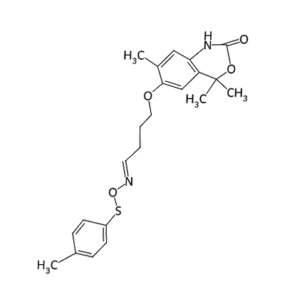 Cc1ccc(SON=CCCCOc2cc3c(cc2C)NC(=O)OC3(C)C)cc1